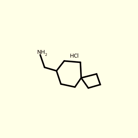 Cl.NCC1CCC2(CCC2)CC1